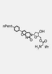 CCCCCc1ccc(-c2cc3cn([C@H]4CC(O)[C@@H](COC(=O)[C@@H](N)C(C)C)O4)c(=O)nc3o2)cc1